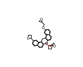 c1cc2ccc(OC3CCO3)c(Cc3c(OCC4CO4)ccc4ccc(C5CCO5)cc34)c2cc1OCC1CO1